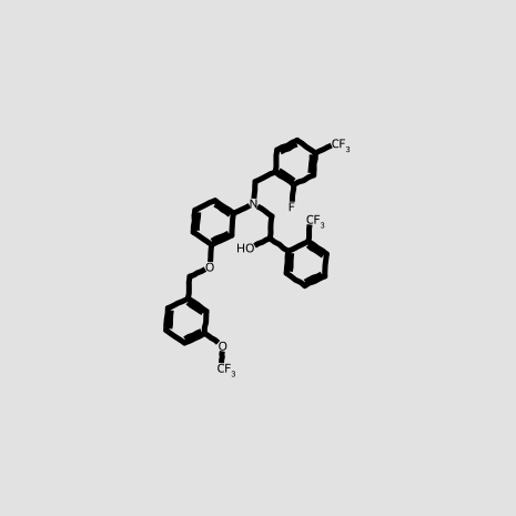 OC(CN(Cc1ccc(C(F)(F)F)cc1F)c1cccc(OCc2cccc(OC(F)(F)F)c2)c1)c1ccccc1C(F)(F)F